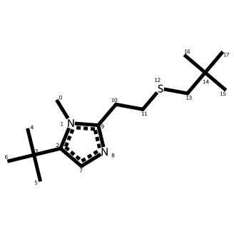 Cn1c(C(C)(C)C)cnc1CCSCC(C)(C)C